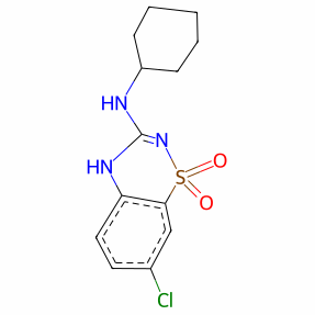 O=S1(=O)N=C(NC2CCCCC2)Nc2ccc(Cl)cc21